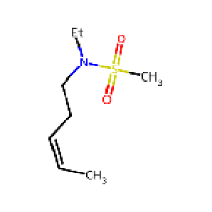 C/C=C\CCN(CC)S(C)(=O)=O